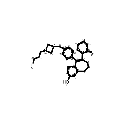 Oc1ccc2c(c1)CCCC(c1ccccc1Cl)=C2c1ccc(CC2CN(CCCF)C2)cc1